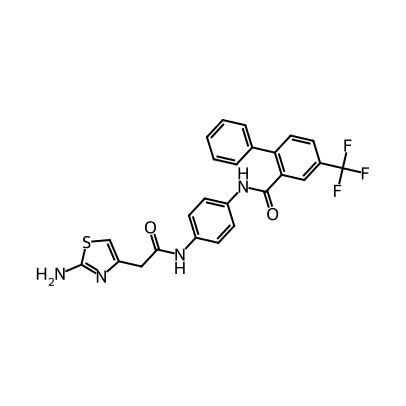 Nc1nc(CC(=O)Nc2ccc(NC(=O)c3cc(C(F)(F)F)ccc3-c3ccccc3)cc2)cs1